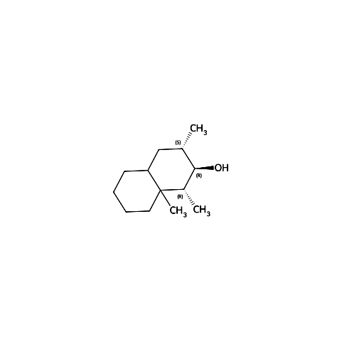 C[C@H]1CC2CCCCC2(C)[C@@H](C)[C@@H]1O